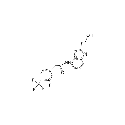 O=C(Cc1ccc(C(F)(F)F)c(F)c1)Nc1cccc2nc(CCO)cn12